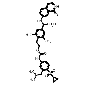 BN(C)Cc1cc(NC(=O)OCCc2c(C)cc(C(Nc3ccc4cc[nH]c(=O)c4c3)C(=O)O)cc2C)ccc1S(=O)(=O)C1CC1